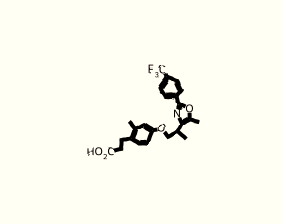 Cc1cc(OCC(C)c2nc(-c3ccc(C(F)(F)F)cc3)oc2C)ccc1CCC(=O)O